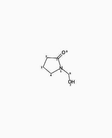 O=C1CCCN1CO